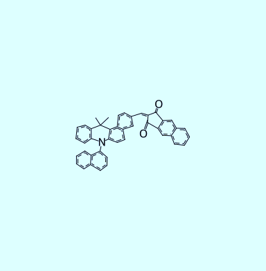 CC1(C)c2ccccc2N(c2cccc3ccccc23)c2ccc3cc(C=C4C(=O)c5cc6ccccc6cc5C4=O)ccc3c21